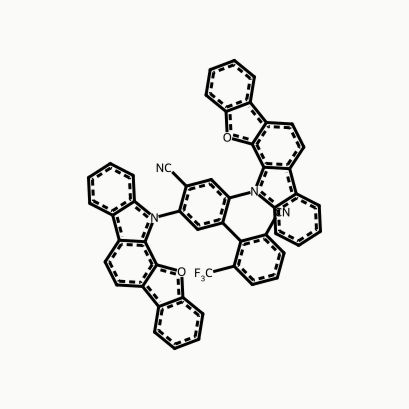 N#Cc1cc(-n2c3ccccc3c3ccc4c5ccccc5oc4c32)c(-c2c(C#N)cccc2C(F)(F)F)cc1-n1c2ccccc2c2ccc3c4ccccc4oc3c21